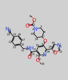 COC(=O)N1CCC(Oc2cc(C(=O)NCc3ccc(C#N)cc3)c(OC)nc2-c2cnco2)CC1